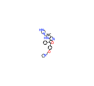 N#Cc1cnc2oc(-c3ccc(OCCN4CCCC4)cc3)c(-c3ccccc3)c2c1NCCN1CCNCC1